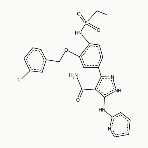 CCS(=O)(=O)Nc1ccc(-c2n[nH]c(Nc3ccccn3)c2C(N)=O)cc1OCc1cccc(Cl)c1